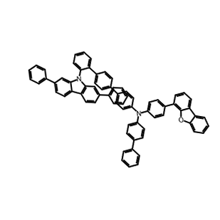 c1ccc(-c2ccc(N(c3ccc(-c4ccc(-c5ccccc5-n5c6cc(-c7ccccc7)ccc6c6ccc(-c7ccccc7)cc65)cc4)cc3)c3ccc(-c4cccc5c4oc4ccccc45)cc3)cc2)cc1